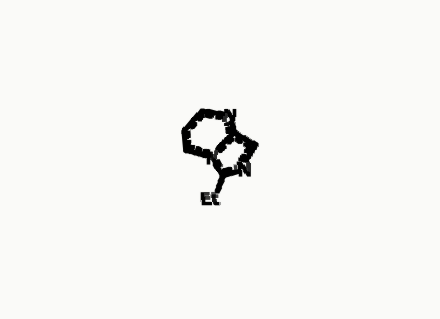 CCc1ncc2ncccn12